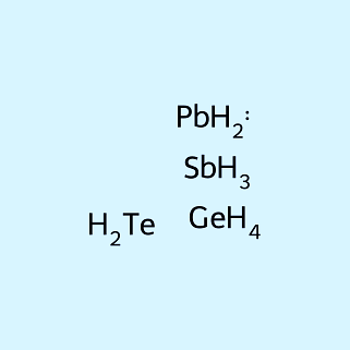 [GeH4].[PbH2].[SbH3].[TeH2]